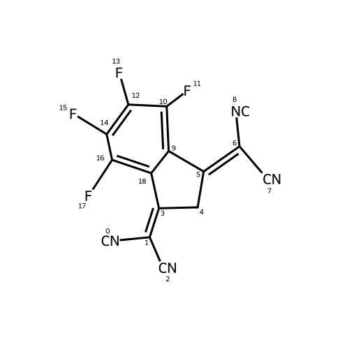 [C-]#[N+]/C(C#N)=C1/C/C(=C(\C#N)[N+]#[C-])c2c(F)c(F)c(F)c(F)c21